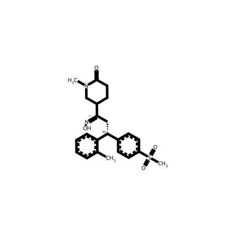 Cc1ccccc1[C@H](C/C(=N\O)C1CCC(=O)N(C)C1)c1ccc(S(C)(=O)=O)cc1